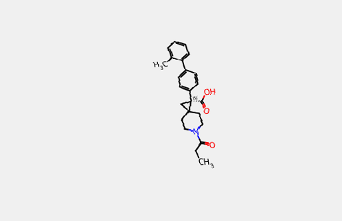 CCC(=O)N1CCC2(CC1)C[C@@]2(C(=O)O)c1ccc(-c2ccccc2C)cc1